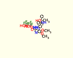 CCOc1cc2ncc(C(N)=O)c(Nc3cccc(CNC(C)C(O)c4ccccc4)c3CC)c2cc1OCC.O=C(O)C(F)(F)F.O=C(O)C(F)(F)F